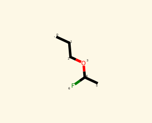 [CH2]CCOC(C)F